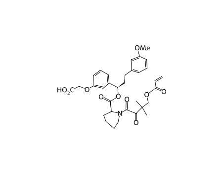 C=CC(=O)OCC(C)(C)C(=O)C(=O)N1CCCC[C@H]1C(=O)O[C@H](CCc1cccc(OC)c1)c1cccc(OCC(=O)O)c1